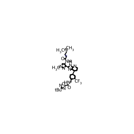 CN(C)C/C=C/C(=O)Nc1cn(C)nc1-c1nc2c(-c3ccc(CNC(=O)c4nc(C(C)(C)C)no4)c(C(F)(F)F)c3)ccnc2[nH]1